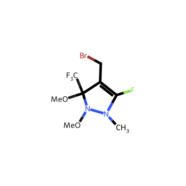 CON1N(C)C(F)=C(CBr)C1(OC)C(F)(F)F